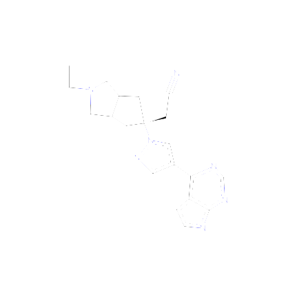 CCN1C[C@@H]2C[C@@](CC#N)(n3cc(-c4ncnc5[nH]ccc45)cn3)C[C@@H]2C1